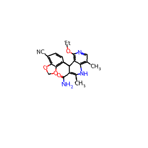 CCOc1ncc(C)c2c1C(c1ccc(C#N)c3c1OCO3)C(C(N)=O)=C(C)N2